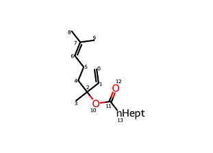 C=CC(C)(CCC=C(C)C)OC(=O)CCCCCCC